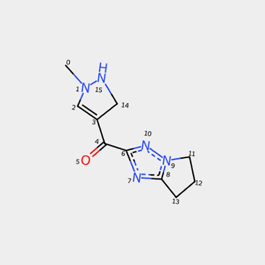 CN1C=C(C(=O)c2nc3n(n2)CCC3)CN1